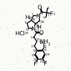 CC(C)(F)C(=O)N1C[C@@H]2CCN(C(=O)C[C@H](N)Cc3cc(F)c(F)cc3F)[C@@H]2C1.Cl